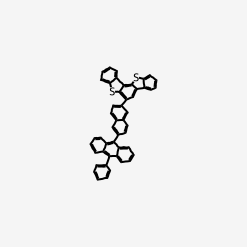 c1ccc(-c2c3ccccc3c(-c3ccc4cc(-c5cc6c7ccccc7sc6c6c5sc5ccccc56)ccc4c3)c3ccccc23)cc1